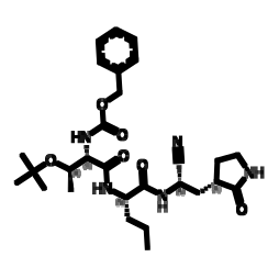 CCC[C@H](NC(=O)[C@@H](NC(=O)OCc1ccccc1)[C@@H](C)OC(C)(C)C)C(=O)N[C@H](C#N)C[C@@H]1CCNC1=O